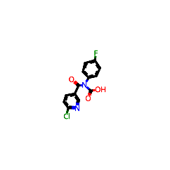 O=C(O)N(C(=O)c1ccc(Cl)nc1)c1ccc(F)cc1